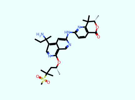 CCC(C)(N)c1cnc(O[C@H](C)CC(C)(C)S(C)(=O)=O)c2cnc(Nc3ccc4c(n3)C(C)(C)[C@H](C)OC4=O)cc12